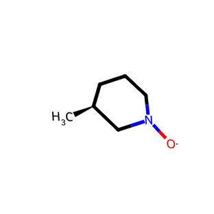 C[C@H]1CCCN([O])C1